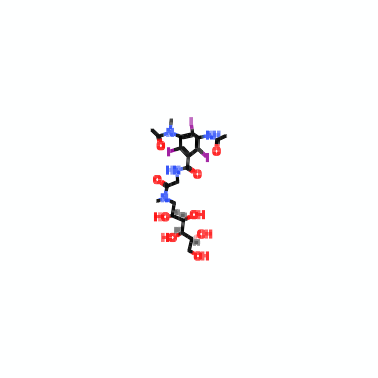 CC(=O)Nc1c(I)c(C(=O)NCC(=O)N(C)C[C@H](O)[C@@H](O)[C@H](O)[C@H](O)CO)c(I)c(N(C)C(C)=O)c1I